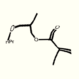 C=C(C)C(=O)OC(C)OCCC